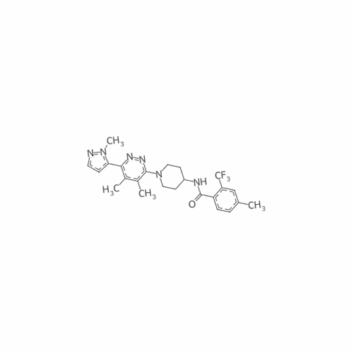 Cc1ccc(C(=O)NC2CCN(c3nnc(-c4ccnn4C)c(C)c3C)CC2)c(C(F)(F)F)c1